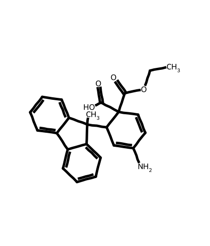 CCOC(=O)C1(C(=O)O)C=CC(N)=CC1C1(C)c2ccccc2-c2ccccc21